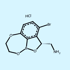 Cl.NC[C@@H]1OB2OCCOc3ccc(Br)c1c32